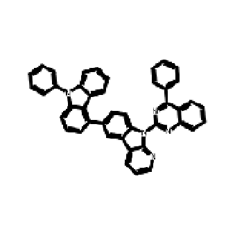 c1ccc(-c2nc(-n3c4ccc(-c5cccc6c5c5ccccc5n6-c5ccccc5)cc4c4cccnc43)nc3ccccc23)cc1